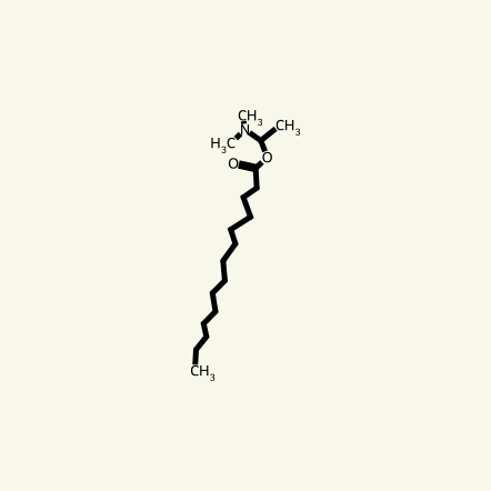 CCCCCCCCCCCCCC(=O)OC(C)N(C)C